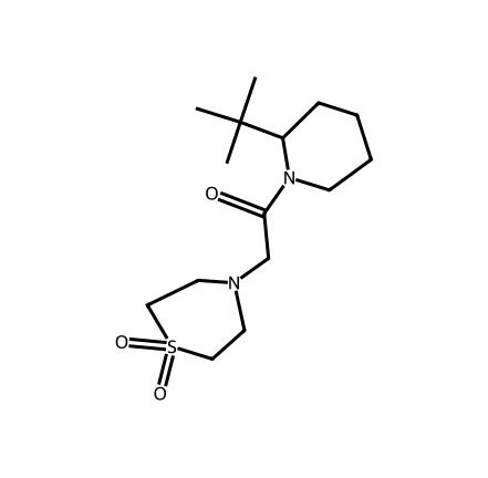 CC(C)(C)C1CCCCN1C(=O)CN1CCS(=O)(=O)CC1